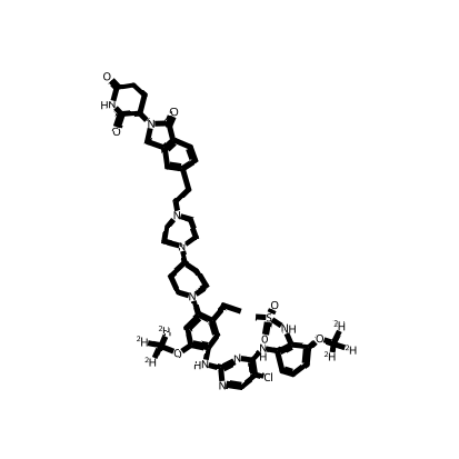 [2H]C([2H])([2H])Oc1cc(N2CCC(N3CCN(CCc4ccc5c(c4)CN(C4CCC(=O)NC4=O)C5=O)CC3)CC2)c(CC)cc1Nc1ncc(Cl)c(Nc2cccc(OC([2H])([2H])[2H])c2NS(C)(=O)=O)n1